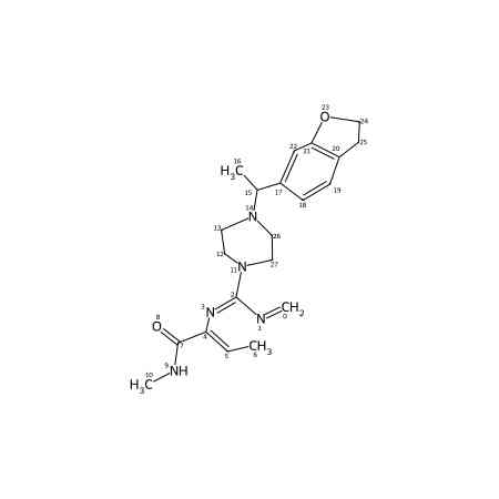 C=N/C(=N\C(=C/C)C(=O)NC)N1CCN(C(C)c2ccc3c(c2)OCC3)CC1